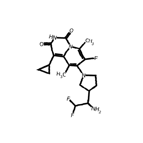 Cc1c(N2CCC(C(N)C(F)F)C2)c(F)c(C)n2c(=O)[nH]c(=O)c(C3CC3)c12